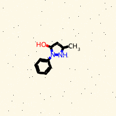 CC1CC(O)N(c2ccccc2)N1